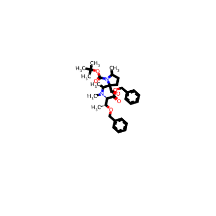 CC1CCC(C=O)(C(C)N(C)[C@H](C(=O)OCc2ccccc2)[C@@H](C)OCc2ccccc2)N1C(=O)OC(C)(C)C